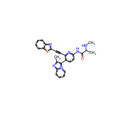 CNC(C)C(=O)Nc1ccc(-c2c(C)nc3ccccn23)c(C#Cc2nc3ccccc3s2)n1